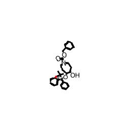 CC(C)(C)[Si](OC1CCN(C(=O)OCc2ccccc2)CCC1O)(c1ccccc1)c1ccccc1